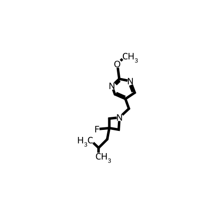 COc1ncc(CN2CC(F)(CC(C)C)C2)cn1